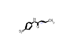 C/C=C/C(=O)Nc1ccc([N+](=O)[O-])cc1